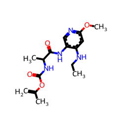 C=C(C)OC(=O)NC(C)C(=O)Nc1cnc(OC)cc1NCC